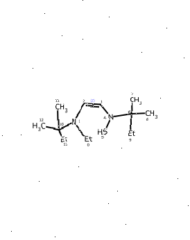 CCN(/C=C\N(S)C(C)(C)CC)C(C)(C)CC